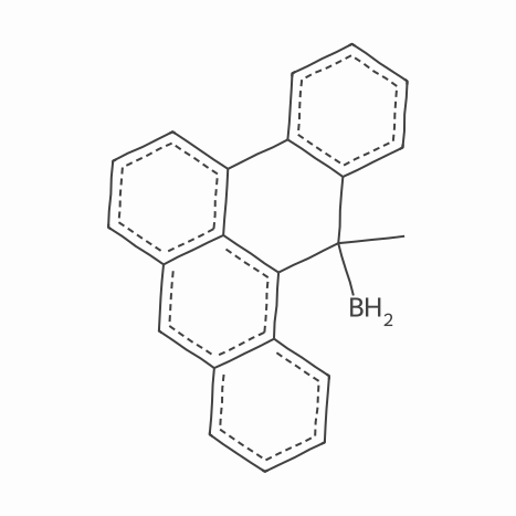 BC1(C)c2ccccc2-c2cccc3cc4ccccc4c1c23